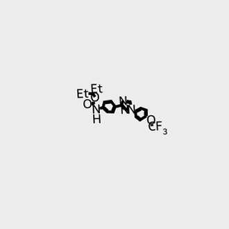 CCC(CC)OC(=O)Nc1ccc(-c2ncn(-c3ccc(OC(F)(F)F)cc3)n2)cc1